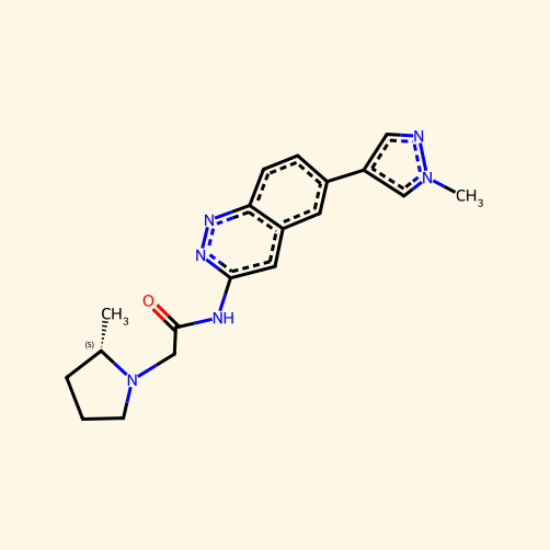 C[C@H]1CCCN1CC(=O)Nc1cc2cc(-c3cnn(C)c3)ccc2nn1